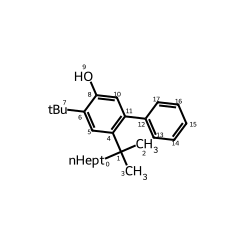 CCCCCCCC(C)(C)c1cc(C(C)(C)C)c(O)cc1-c1ccccc1